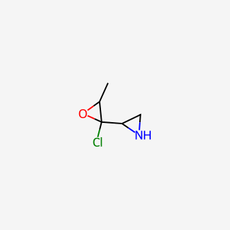 CC1OC1(Cl)C1CN1